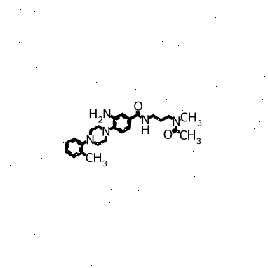 CC(=O)N(C)CCCNC(=O)c1ccc(N2CCN(c3ccccc3C)CC2)c(N)c1